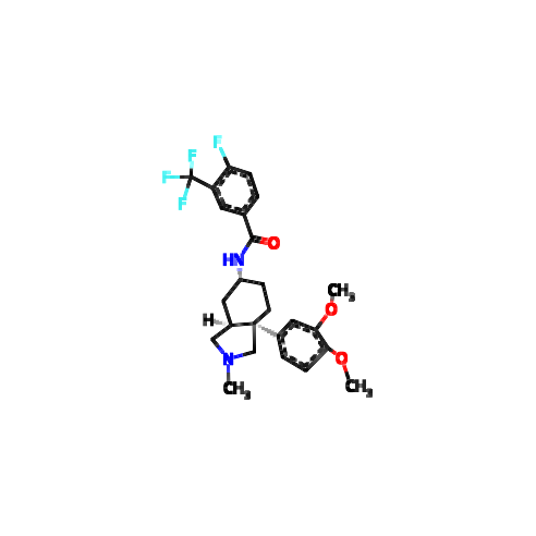 COc1ccc([C@@]23CC[C@@H](NC(=O)c4ccc(F)c(C(F)(F)F)c4)C[C@@H]2CN(C)C3)cc1OC